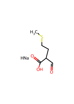 CSCCC(C=O)C(=O)O.[NaH]